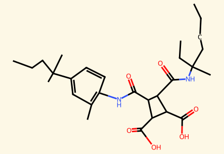 CCCCC(C)(CC)NC(=O)C1C(C(=O)O)C(C(=O)O)C1C(=O)Nc1ccc(C(C)(C)CCC)cc1C